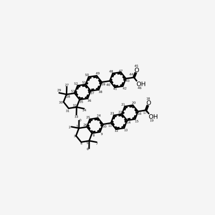 CC1(C)CCC(C)(C)c2cc(-c3ccc4cc(C(=O)O)ccc4c3)ccc21.CC1(C)CCC(C)(C)c2cc3cc(-c4ccc(C(=O)O)cc4)ccc3cc21